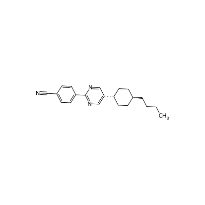 CCCC[C@H]1CC[C@H](c2cnc(-c3ccc(C#N)cc3)nc2)CC1